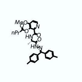 CCCC(=O)Oc1c(OC)ccnc1C(=O)N[C@@H](C)C(=O)NN=C(c1ccc(C)cc1)c1ccc(C)cc1